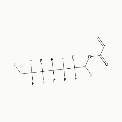 C=CC(=O)OC(F)C(F)(F)C(F)(F)C(F)(F)C(F)(F)C(F)(F)CF